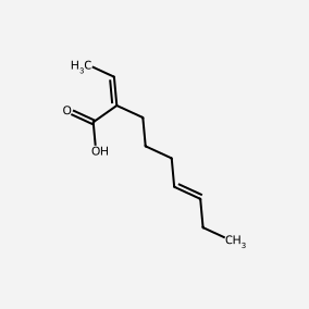 CC=C(CCCC=CCC)C(=O)O